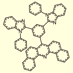 c1ccc(-n2c(-c3cc(-c4c5ccc6ccccc6c5nc5c4ccc4ccccc45)cc(-c4nc5ccccc5n4-c4ccccc4)c3)nc3ccccc32)cc1